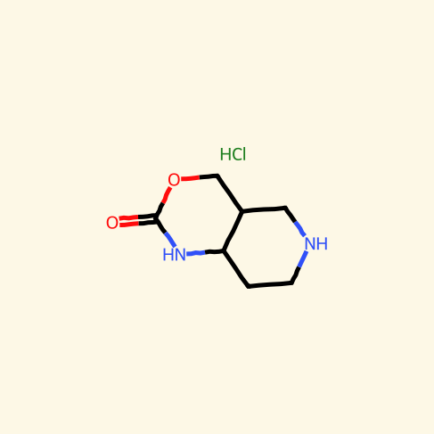 Cl.O=C1NC2CCNCC2CO1